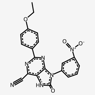 CCOc1ccc(-c2nc(C#N)c3[nH]c(=O)n(-c4cccc([N+](=O)[O-])c4)c3n2)cc1